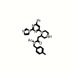 CC(=O)N(Cc1ccc(C)cc1)C(=O)CC1CNCCN1c1cc(C(C)C)nc(-n2ccnc2)n1